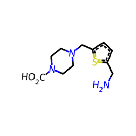 NCc1ccc(CN2CCN(C(=O)O)CC2)s1